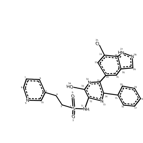 O=S(=O)(CCc1cccnc1)Nc1nc(-c2ccccc2)c(-c2cc(Cl)c3[nH]ncc3c2)nc1O